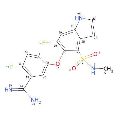 CNS(=O)(=O)c1c(Oc2ccc(F)c(C(=N)N)c2)c(F)cc2[nH]ccc12